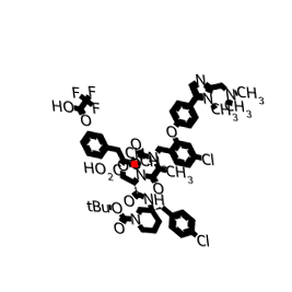 CC(C(=O)N1[C@H](C(=O)N[C@@]2(Cc3ccc(Cl)cc3)CCCN(C(=O)OC(C)(C)C)C2)COC1(C)C)N(Cc1ccc(Cl)cc1Oc1ccc(-c2cnc(CN(C)C)n2C)cc1)C(=O)OC(Cc1ccccc1)C(=O)O.O=C(O)C(F)(F)F